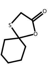 O=C1CSC2(CCCCC2)O1